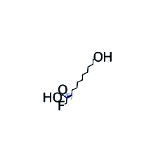 O=C(O)/C(=C\CCCCCCCCCO)CF